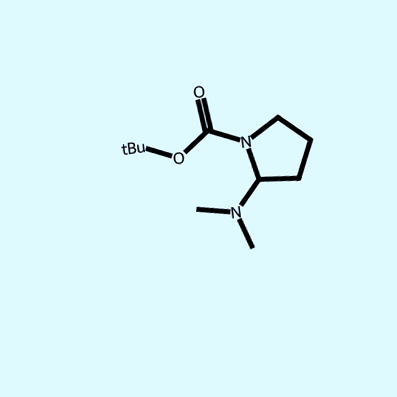 CN(C)C1CCCN1C(=O)OC(C)(C)C